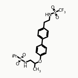 CC(CNS(=O)(=O)C(C)C)Oc1ccc(-c2ccc(CCNS(=O)(=O)C(F)(F)F)cc2)cc1